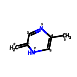 C=C1C=NC(C)=CN1